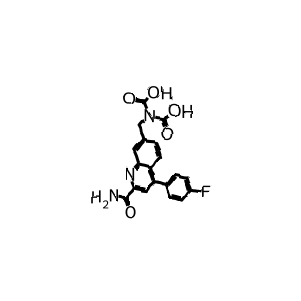 NC(=O)c1cc(-c2ccc(F)cc2)c2ccc(CN(C(=O)O)C(=O)O)cc2n1